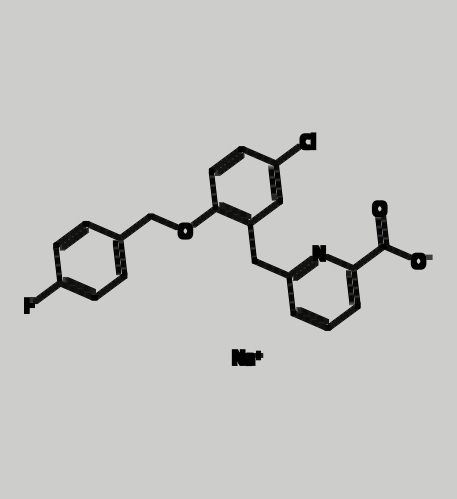 O=C([O-])c1cccc(Cc2cc(Cl)ccc2OCc2ccc(F)cc2)n1.[Na+]